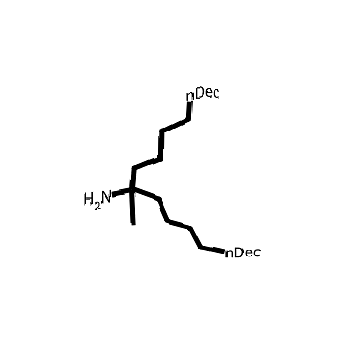 CCCCCCCCCCCCCCC(C)(N)CCCCCCCCCCCCCC